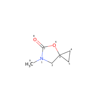 CN1CC2(CC2)OC1=O